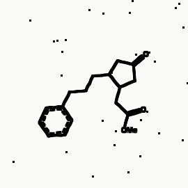 COC(=O)CC1CC(=O)CC1CCCc1ccccc1